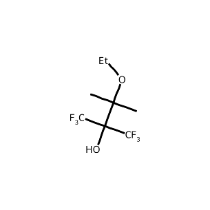 CCOC(C)(C)C(O)(C(F)(F)F)C(F)(F)F